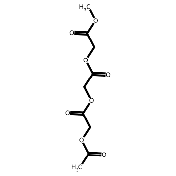 COC(=O)COC(=O)COC(=O)COC(C)=O